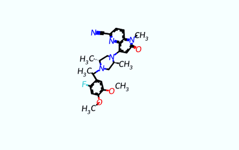 COc1cc(F)c(C(C)N2C[C@H](C)N(c3cc(=O)n(C)c4ccc(C#N)nc34)C[C@H]2C)cc1OC